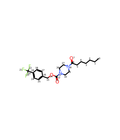 [CH2]CCCCCC(=O)N1CCN(C(=O)OCc2ccc(C(F)(F)F)cc2)CC1